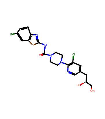 O=C(Nc1nc2ccc(F)cc2s1)N1CCN(c2ncc(C[C@H](O)CO)cc2Cl)CC1